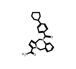 NC(=O)c1ccc2n1Cc1ccccc1N(C(=O)c1ccc(C3CCCCC3)cc1)C2